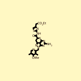 CCOC(=O)Cc1csc(NC(=O)C2Cc3nn(Cc4ncc(C)c(OC)c4C)c4nc(N)nc(c34)S2)n1